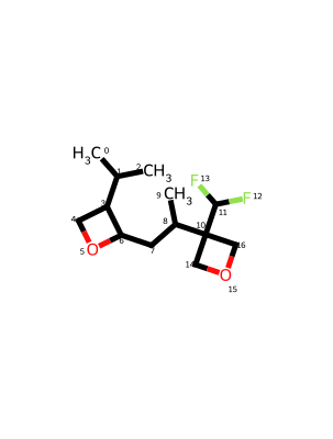 CC(C)C1COC1CC(C)C1(C(F)F)COC1